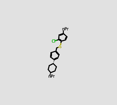 CCCc1ccc(SCc2ccc([C@H]3CC[C@H](CCC)CC3)cc2)c(Cl)c1